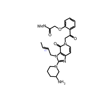 C/C=C/Cn1c(N2CCCC(N)C2)nc2ccn(CC(=O)c3ccccc3OCC(=O)NC)c(=O)c21